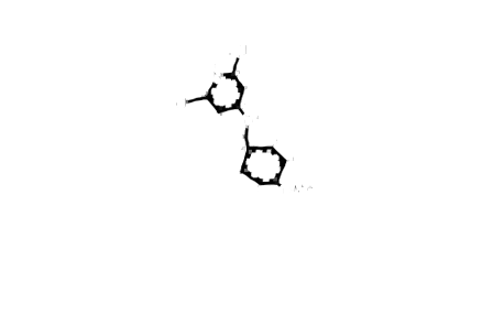 COc1ccc(COc2cc(Cl)nc(Cl)c2)cc1